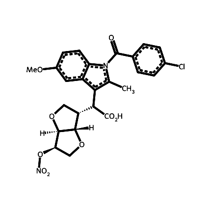 COc1ccc2c(c1)c(C(C(=O)O)[C@H]1CO[C@H]3[C@H]1OC[C@H]3O[N+](=O)[O-])c(C)n2C(=O)c1ccc(Cl)cc1